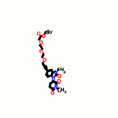 CN1C(=O)CCC(n2c(=O)n(C)c3cc(C#CCOCCOCCOCC(=O)OC(C)(C)C)ccc32)C1=O